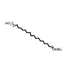 CCCCOOCCCCCCCCCCCCCCCCOC(=O)O